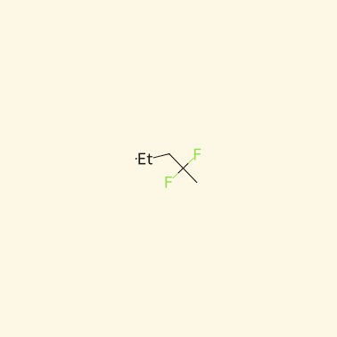 C[CH]CC(C)(F)F